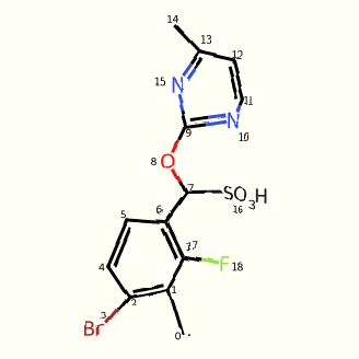 [CH2]c1c(Br)ccc(C(Oc2nccc(C)n2)S(=O)(=O)O)c1F